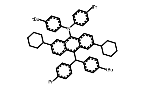 CC(C)c1ccc(C(c2ccc(C(C)(C)C)cc2)c2c3cc(C4CCCCC4)ccc3c(N(c3ccc(C(C)C)cc3)c3ccc(C(C)(C)C)cc3)c3cc(C4CCCCC4)ccc23)cc1